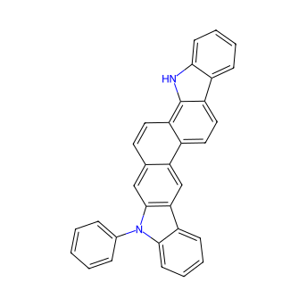 c1ccc(-n2c3ccccc3c3cc4c(ccc5c4ccc4c6ccccc6[nH]c45)cc32)cc1